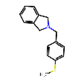 CSc1ccc(CN2Cc3ccccc3C2)cc1